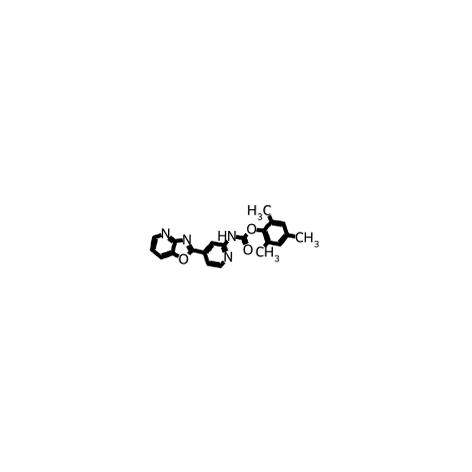 Cc1cc(C)c(OC(=O)Nc2cc(-c3nc4ncccc4o3)ccn2)c(C)c1